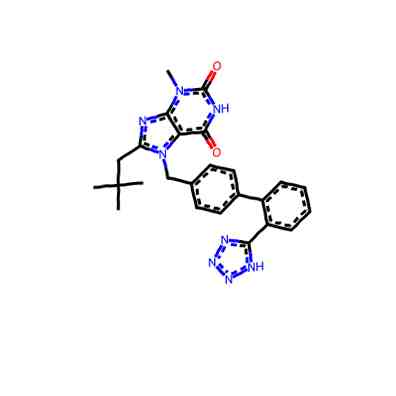 Cn1c(=O)[nH]c(=O)c2c1nc(CC(C)(C)C)n2Cc1ccc(-c2ccccc2-c2nnn[nH]2)cc1